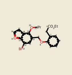 CCOC(=O)Cc1ccccc1OCc1cc(Br)c2occc2c1OC(C)C